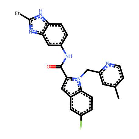 CCc1nc2cc(NC(=O)c3cc4cc(F)ccc4n3Cc3cc(C)ccn3)ccc2[nH]1